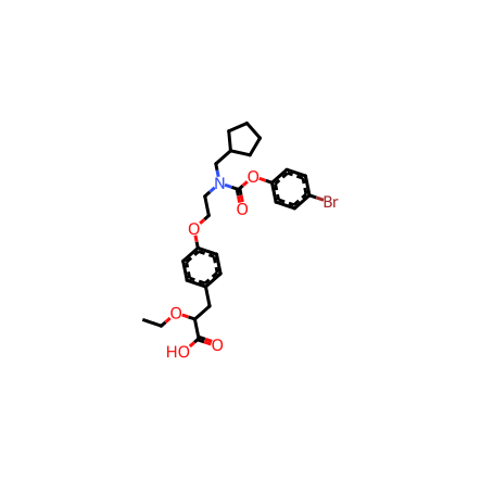 CCOC(Cc1ccc(OCCN(CC2CCCC2)C(=O)Oc2ccc(Br)cc2)cc1)C(=O)O